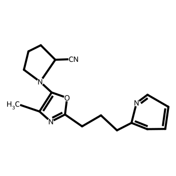 Cc1nc(CCCc2ccccn2)oc1N1CCCC1C#N